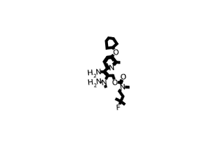 Cc1nc(/C(N)=C(\COC(=O)N(C)CCC(C)(C)F)N(C)N)ccc1OC1CCCCC1